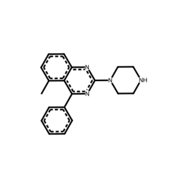 Cc1cccc2nc(N3CCNCC3)nc(-c3ccccc3)c12